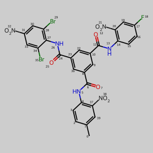 Cc1ccc(NC(=O)c2cc(C(=O)Nc3ccc(F)cc3[N+](=O)[O-])cc(C(=O)Nc3c(Br)cc([N+](=O)[O-])cc3Br)c2)c([N+](=O)[O-])c1